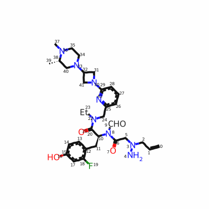 C=CCN(N)CC(=O)N(C=O)[C@@H](Cc1ccc(O)cc1F)C(=O)N(CC)Cc1cccc(N2CC(N3CCN(C)[C@@H](C)C3)C2)n1